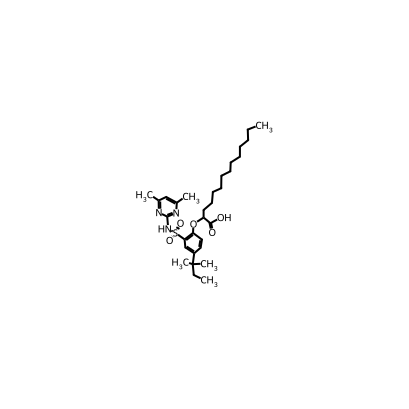 CCCCCCCCCCCCC(Oc1ccc(C(C)(C)CC)cc1S(=O)(=O)Nc1nc(C)cc(C)n1)C(=O)O